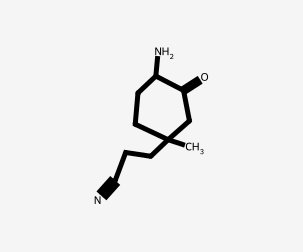 CC1(CCC#N)CCC(N)C(=O)C1